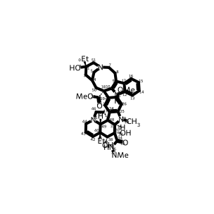 CC[C@]1(O)CC2CN(CCc3c([nH]c4ccccc34)[C@@](C(=O)OC)(c3cc4c(cc3OC)N(C)[C@H]3[C@@](O)(C(=O)NNC)[C@H](O)[C@]5(CC)C=CCN6CC[C@]43[C@@H]65)C2)C1